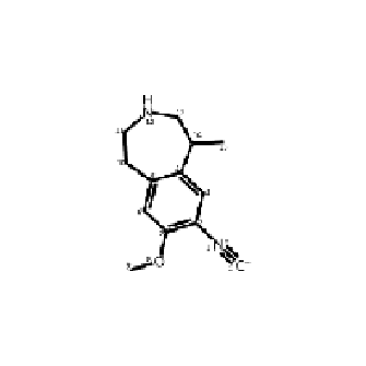 [C-]#[N+]c1cc2c(cc1OC)CCNCC2C